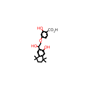 CC1(C)CCC(C)(C)c2cc(C(O)COc3ccc(C(=O)O)c(O)c3)c(O)cc21